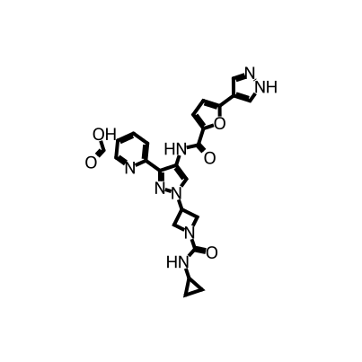 O=C(Nc1cn(C2CN(C(=O)NC3CC3)C2)nc1-c1ccccn1)c1ccc(-c2cn[nH]c2)o1.O=CO